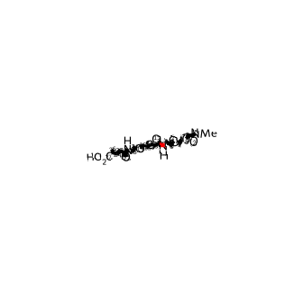 CNC(=O)COCCOCCNC(=O)COCCOCCNC(=O)CC[C@H](C)C(=O)O